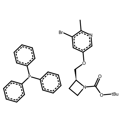 Cc1ncc(OC[C@@H]2CCN2C(=O)OC(C)(C)C)cc1Br.c1ccc(P(c2ccccc2)c2ccccc2)cc1